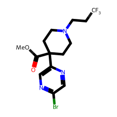 COC(=O)C1(c2cnc(Br)cn2)CCN(CCC(F)(F)F)CC1